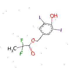 CC(F)(F)C(=O)OCc1cc(I)c(O)c(I)c1